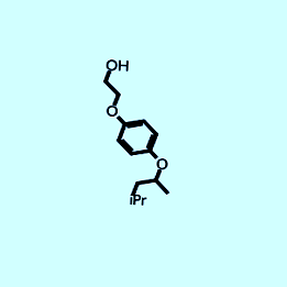 CC(C)CC(C)Oc1ccc(OCCO)cc1